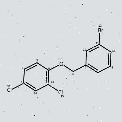 Clc1ccc(OCc2cccc(Br)c2)c(Cl)c1